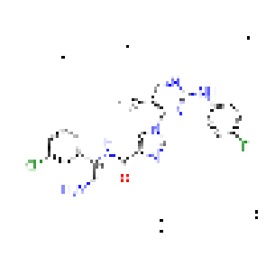 Cc1cnc(Nc2ccc(F)cc2)nc1-n1cnc(C(=O)N[C@@H](CN)c2cccc(Cl)c2)c1